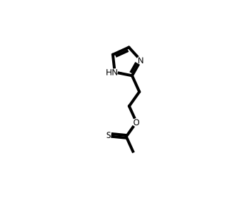 CC(=S)OCCc1ncc[nH]1